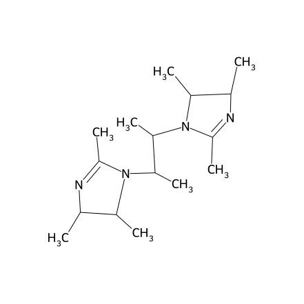 CC1=NC(C)C(C)N1C(C)C(C)N1C(C)=NC(C)C1C